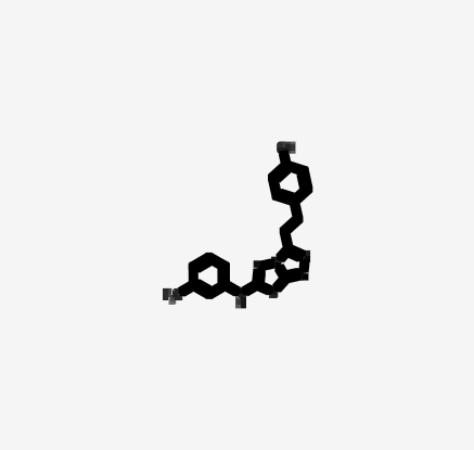 Oc1ccc(CCc2nnc3sc(Nc4cccc(C(F)(F)F)c4)nn23)cc1